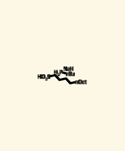 CCCCCCCCCCCCS(=O)(=O)O.CCCCP.[NaH]